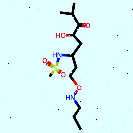 [CH2]CCNOCCC(CC(O)C(=O)C(C)C)NS(C)(=O)=O